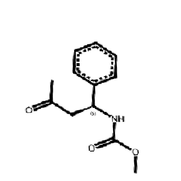 COC(=O)N[C@@H](CC(C)=O)c1ccccc1